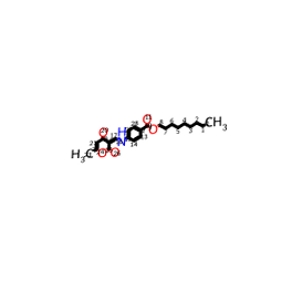 CCCCCCCCCOC(=O)c1ccc(NC=C2C(=O)C=C(C)OC2=O)cc1